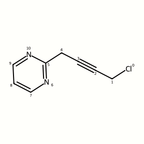 ClCC#CCc1ncccn1